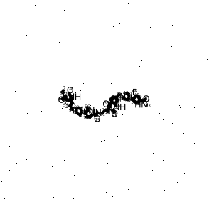 CCn1c(=O)[nH]c2cc(CN3CCN(c4ccc(C(=O)NCCCn5c(=O)[nH]c6cc(CN7CCN(c8ccc(C(=O)NC)cc8F)CC7)ccc6c5=O)nc4C)CC3)sc2c1=O